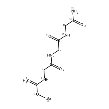 C=C(NCC(=O)NCC(=O)NCC(N)=O)OC(C)(C)C